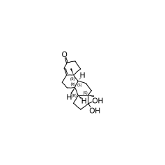 C[C@]12CCC(=O)C=C1CC[C@H]1[C@H]3CCC(O)(O)[C@@]3(C)CC[C@@H]12